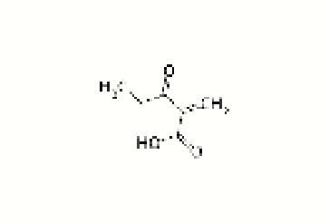 C=C(C(=O)O)C(=O)CC